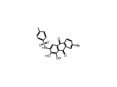 Cc1ccc(S(=O)(=O)Nc2cc3c(c(O)c2O)C(=O)c2cc(Br)ccc2C3=O)cc1